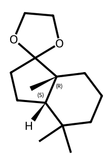 CC1(C)CCC[C@]2(C)[C@H]1CCC21OCCO1